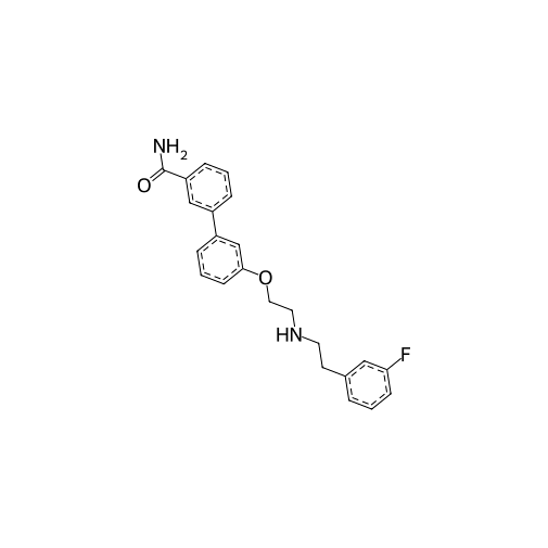 NC(=O)c1cccc(-c2cccc(OCCNCCc3cccc(F)c3)c2)c1